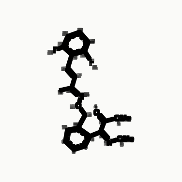 CO/N=C(\C(=O)OC)c1ccccc1CO/N=C(C)/C=C/c1c(F)cccc1F